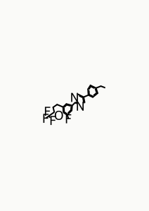 CCc1ccc(-c2cnc(-c3cc(F)c4c(c3)CCC(C(F)(F)F)O4)nc2)cc1